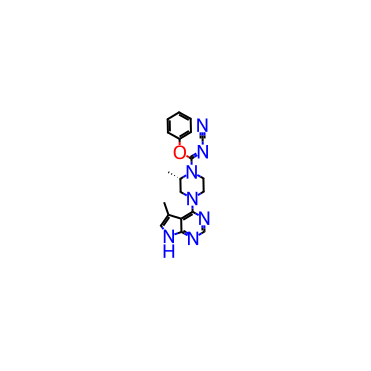 Cc1c[nH]c2ncnc(N3CCN(C(=NC#N)Oc4ccccc4)[C@@H](C)C3)c12